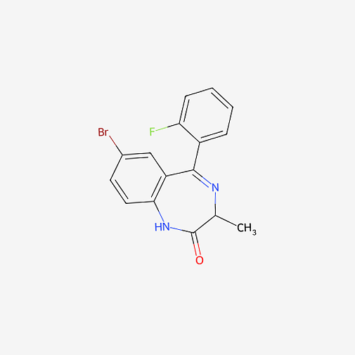 CC1N=C(c2ccccc2F)c2cc(Br)ccc2NC1=O